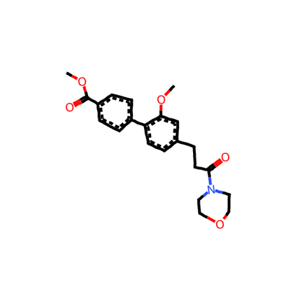 COC(=O)c1ccc(-c2ccc(CCC(=O)N3CCOCC3)cc2OC)cc1